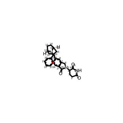 O=C1CCC(N2Cc3cc(C4C[C@H]5CC[C@@H](C4)N5Cc4ccccc4)ccc3C2=O)C(=O)N1